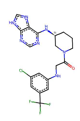 O=C(CNc1cc(Cl)cc(C(F)(F)F)c1)N1CCC[C@H](Nc2ncnc3[nH]cnc23)C1